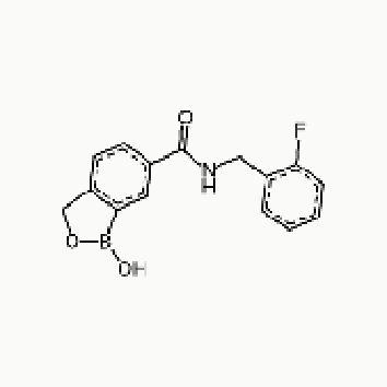 O=C(NCc1ccccc1F)c1ccc2c(c1)B(O)OC2